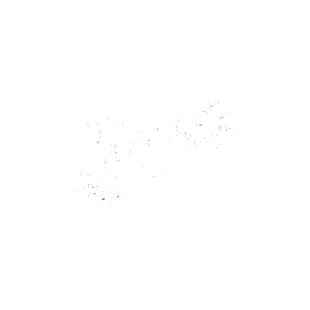 CCCCC(OC(=O)CCC(=O)O[C@@H]1C[C@H](C)C(C)(C)C1(C)C)c1ccc(I)cc1C(=O)O[C@@H]1C[C@H](C)C(C)(C)C1(C)C